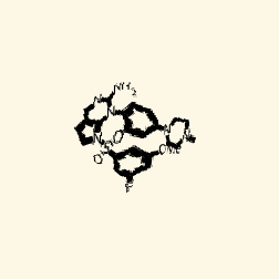 COc1cc(F)cc(S(=O)(=O)n2ccc3c2N(c2ccc(N4CCN(C)CC4)cc2)C(N)N=C3)c1